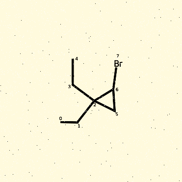 CCC1(CC)CC1Br